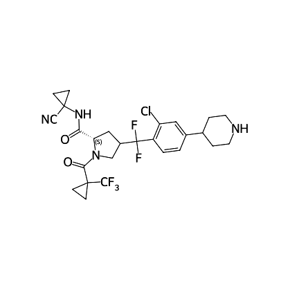 N#CC1(NC(=O)[C@@H]2CC(C(F)(F)c3ccc(C4CCNCC4)cc3Cl)CN2C(=O)C2(C(F)(F)F)CC2)CC1